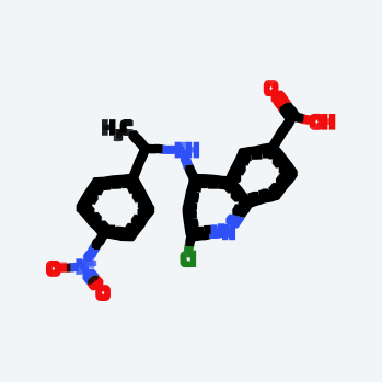 CC(Nc1cc(Cl)nc2ccc(C(=O)O)cc12)c1ccc([N+](=O)[O-])cc1